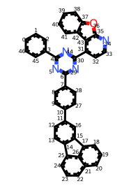 c1ccc(-c2nc(-c3ccc(-c4ccc5c(c4)-c4cccc6cccc-5c46)cc3)nc(-c3ccnc4oc5ccccc5c34)n2)cc1